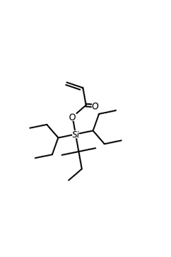 C=CC(=O)O[Si](C(CC)CC)(C(CC)CC)C(C)(C)CC